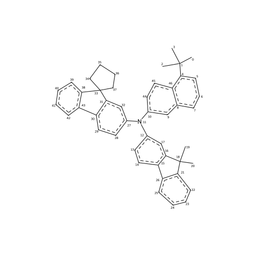 CC(C)(C)c1cccc2cc(N(c3ccc4c(c3)C(C)(C)c3ccccc3-4)c3ccc4c(c3)C3(CCCC3)c3ccccc3-4)ccc12